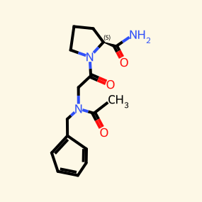 CC(=O)N(CC(=O)N1CCC[C@H]1C(N)=O)Cc1ccccc1